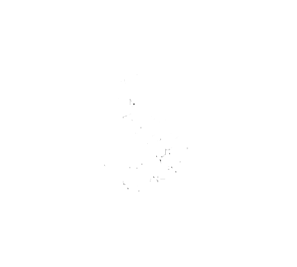 COc1ccc(Nc2nc3cccc(-c4ccc(C(=O)N5CCCCC5)cc4)n3n2)cn1